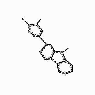 Cc1cc(-c2ccc3c4cnccc4n(C)c3c2)cnc1F